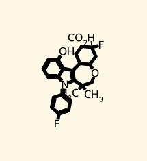 CC1(C)COC2C[C@@](F)(C(=O)O)CCC2c2c1n(-c1ccc(F)cc1)c1cccc(O)c21